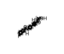 CC(C)(CO)NC(=O)C12CCC(c3ccc(NC(=O)N4Cc5ccc(F)cc5C4)cc3)(CC1)CC2